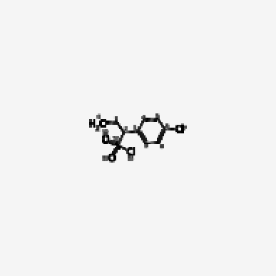 C=CC(c1ccc(Cl)cc1)S(=O)(=O)Cl